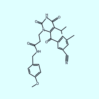 COc1ccc(CNC(=O)CCn2c(C(=O)c3cc(C)cc(C#N)c3)c(C(C)C)c(=O)[nH]c2=O)cc1